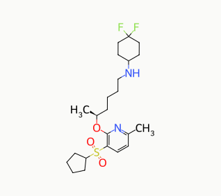 Cc1ccc(S(=O)(=O)C2CCCC2)c(O[C@@H](C)CCCCNC2CCC(F)(F)CC2)n1